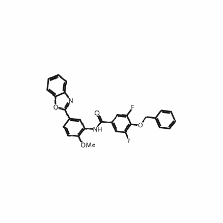 COc1ccc(-c2nc3ccccc3o2)cc1NC(=O)c1cc(F)c(OCc2ccccc2)c(F)c1